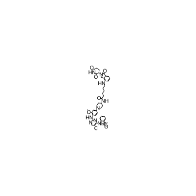 COc1cc(N2CCC(NC(=O)CCCCCNc3cccc4c3CN(C3CCC(=O)NC3=O)C4=O)CC2)ccc1Nc1ncc(Cl)c(Nc2ccccc2P(C)(C)=O)n1